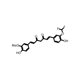 COc1cc(C=CC(=O)CC(=O)C=Cc2ccc(O)c(OC(F)F)c2)ccc1O